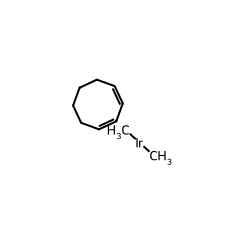 C1=C\CCCC\C=C/1.[CH3][Ir][CH3]